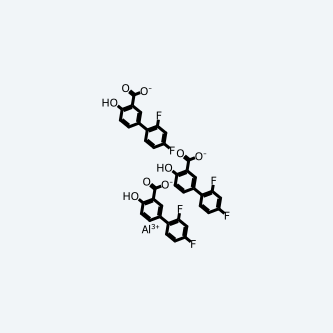 O=C([O-])c1cc(-c2ccc(F)cc2F)ccc1O.O=C([O-])c1cc(-c2ccc(F)cc2F)ccc1O.O=C([O-])c1cc(-c2ccc(F)cc2F)ccc1O.[Al+3]